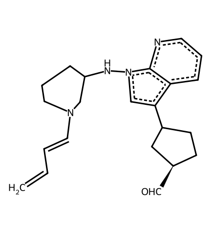 C=CC=CN1CCCC(Nn2cc(C3CC[C@@H](C=O)C3)c3cccnc32)C1